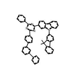 CC1(C)c2ccccc2-c2ccc(-n3c4ccccc4c4ccc(-c5nc(-c6ccccc6)nc(-c6ccc(-c7cccc(-c8ccccc8)c7)cc6)n5)cc43)cc21